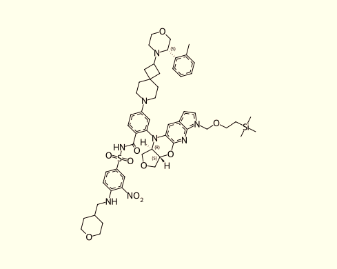 Cc1ccccc1[C@H]1COCCN1C1CC2(CCN(c3ccc(C(=O)NS(=O)(=O)c4ccc(NCC5CCOCC5)c([N+](=O)[O-])c4)c(N4c5cc6ccn(COCC[Si](C)(C)C)c6nc5O[C@@H]5COC[C@H]54)c3)CC2)C1